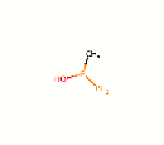 CP(O)P